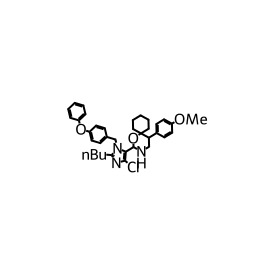 CCCCc1nc(Cl)c(C2NCC(c3ccc(OC)cc3)C3(CCCCC3)O2)n1Cc1ccc(Oc2ccccc2)cc1